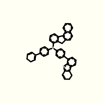 C1=CC(c2ccc(N(c3ccc(-c4cccc5c6c(sc45)C=CCC6)cc3)c3cccc4c3Cc3ccc5ccccc5c3-4)cc2)=CCC1